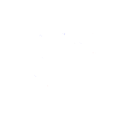 O=C(CCNc1ccc2[nH]c3ccc(NCCC(=O)N(CCO)CCO)cc3c2c1)N(CCO)CCO